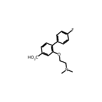 CN(C)CCOc1cc(C(=O)O)ccc1-c1ccc(F)cc1